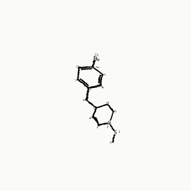 CSN1CCC(Cc2ccc(Br)cc2)CC1